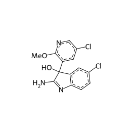 COc1ncc(Cl)cc1C1(O)C(N)=Nc2ccc(Cl)cc21